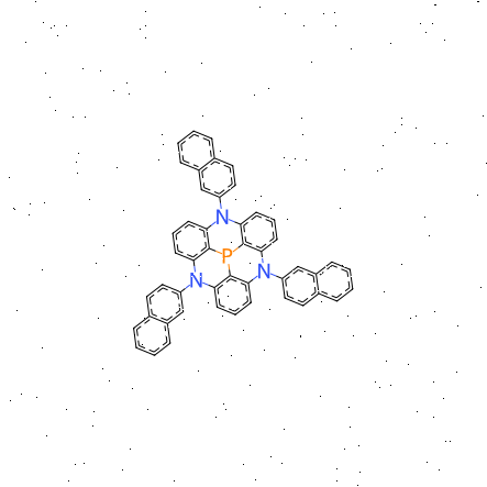 c1cc2c3c(c1)N(c1ccc4ccccc4c1)c1cccc4c1P3c1c(cccc1N4c1ccc3ccccc3c1)N2c1ccc2ccccc2c1